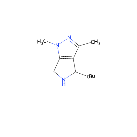 Cc1nn(C)c2c1C(C(C)(C)C)NC2